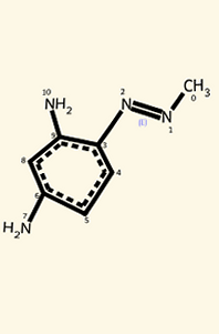 C/N=N/c1ccc(N)cc1N